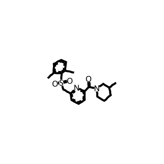 Cc1cccc(C)c1S(=O)(=O)Cc1cccc(C(=O)N2CCCC(C)C2)n1